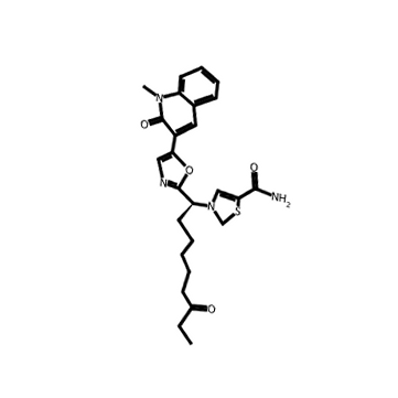 CCC(=O)CCCCC[C@@H](c1ncc(-c2cc3ccccc3n(C)c2=O)o1)N1C=C(C(N)=O)SC1